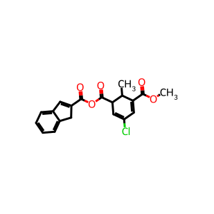 COC(=O)C1=CC(Cl)=CC(C(=O)OC(=O)C2=Cc3ccccc3C2)C1C